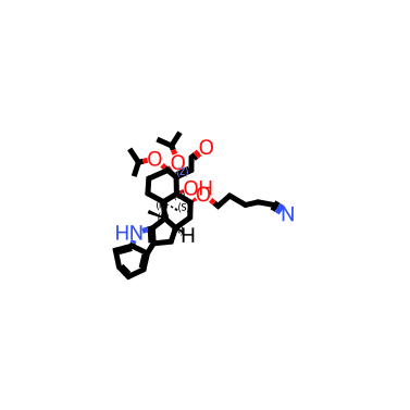 CC(C)OC1(OC(C)C)CC[C@]2(C)[C@@]3(C)c4[nH]c5ccccc5c4C[C@@H]3C[C@H](OCCCCC#N)[C@@]2(O)/C1=C/C=O